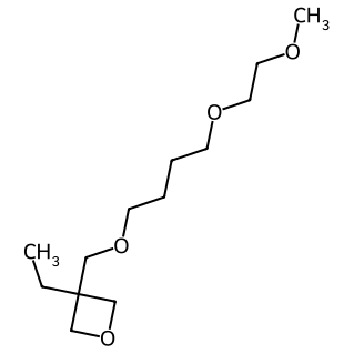 CCC1(COCCCCOCCOC)COC1